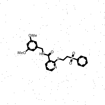 COc1cc(CNC(=O)c2cccnc2SCCS(=O)(=O)c2ccccc2)cc(OC)c1